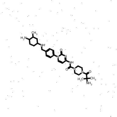 CC1CC(NCc2ccc(-n3ccc(NC(=O)N4CCN(C(=O)C(C)(C)N)CC4)nc3=O)cc2)CCC1N